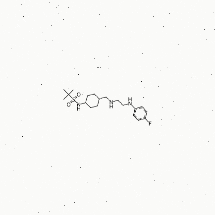 CC(C)(C)S(=O)(=O)NC1CCC(CNCCNc2ccc(F)cc2)CC1